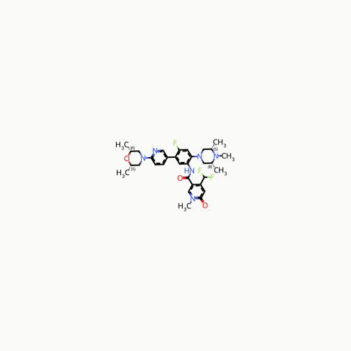 C[C@@H]1CN(c2ccc(-c3cc(NC(=O)c4cn(C)c(=O)cc4C(F)F)c(N4C[C@@H](C)N(C)[C@@H](C)C4)cc3F)cn2)C[C@H](C)O1